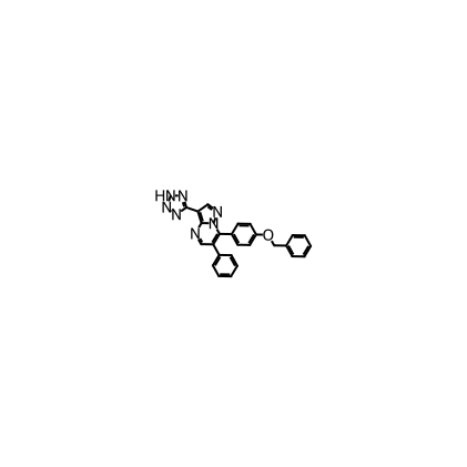 c1ccc(COc2ccc(-c3c(-c4ccccc4)cnc4c(-c5nn[nH]n5)cnn34)cc2)cc1